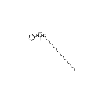 CCCCCCCCCCCCCCCCCC[n+]1ccn(-c2ccccc2)c1C